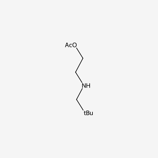 CC(=O)OCCNCC(C)(C)C